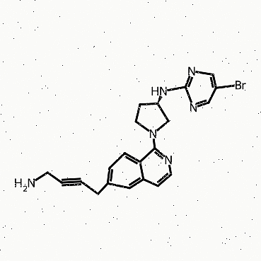 NCC#CCc1ccc2c(N3CC[C@@H](Nc4ncc(Br)cn4)C3)nccc2c1